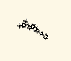 O=C1N=C(N2CC(N3CCOCC3)C2)SC1=Cc1ccc2c(cnn2Cc2ccc(C(F)(F)F)cc2C(F)(F)F)c1